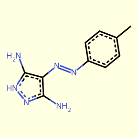 Cc1ccc(N=Nc2c(N)n[nH]c2N)cc1